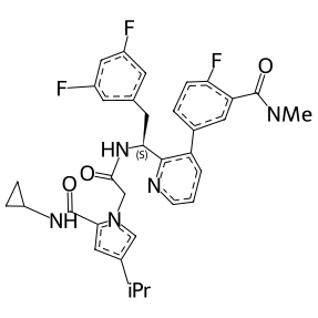 CNC(=O)c1cc(-c2cccnc2[C@H](Cc2cc(F)cc(F)c2)NC(=O)Cn2cc(C(C)C)cc2C(=O)NC2CC2)ccc1F